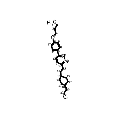 CCCCOc1ccc(-c2ccc(CCC3CCC(CCCl)CC3)nn2)cc1